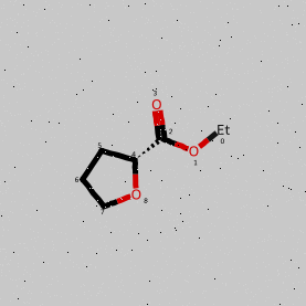 CCOC(=O)[C@H]1CCCO1